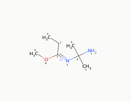 CC/C(=N\C(C)(C)N)OC